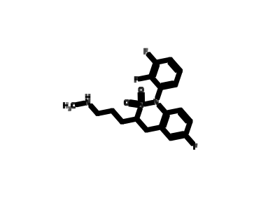 CNCCCC1Cc2cc(F)ccc2N(c2cccc(F)c2F)S1(=O)=O